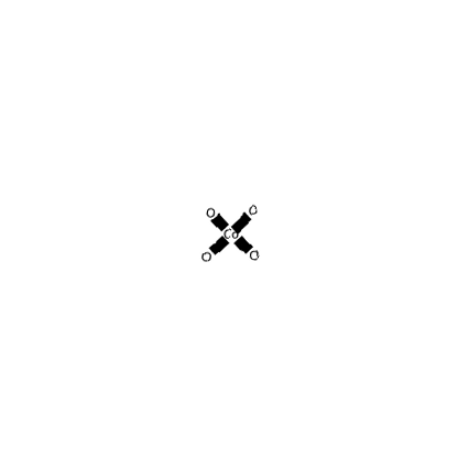 [O]=[Co](=[O])(=[O])=[O]